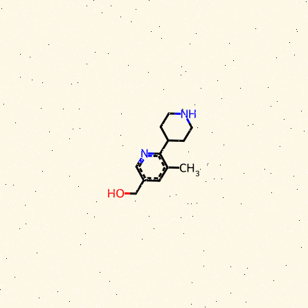 Cc1cc(CO)cnc1C1CCNCC1